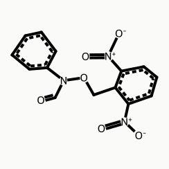 O=CN(OCc1c([N+](=O)[O-])cccc1[N+](=O)[O-])c1ccccc1